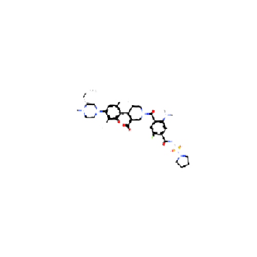 COC[C@H]1CN(c2cc(C)c3c4c(c(=O)oc3c2C)CN(C(=O)c2cc(F)c(C(=O)NS(=O)(=O)N3CCCC3)cc2N(C)C)CC4)CCN1C